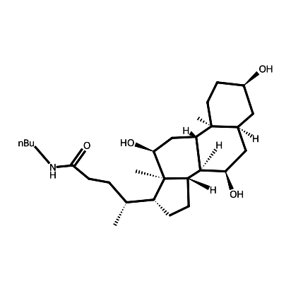 CCCCNC(=O)CC[C@@H](C)[C@H]1CC[C@H]2[C@@H]3[C@H](O)C[C@@H]4C[C@H](O)CC[C@]4(C)[C@H]3C[C@H](O)[C@]12C